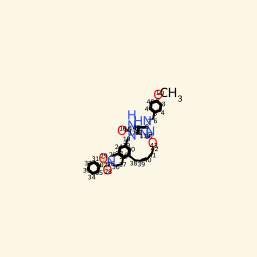 COc1ccc(CNc2nc3nc4c2[nH]c(=O)n4Cc2cc(c4c(c2)CN(S(=O)(=O)c2ccccc2)CC4)CC=CCCO3)cc1